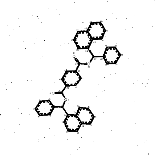 O=C(OC(c1ccccc1)c1cccc2ccccc12)c1ccc(C(=O)OC(c2ccccc2)c2cccc3ccccc23)cc1